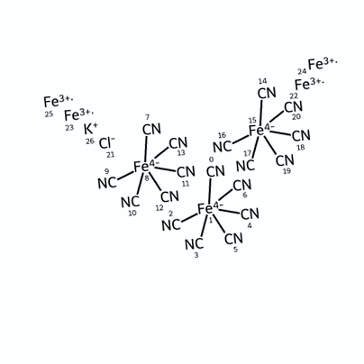 N#[C][Fe-4]([C]#N)([C]#N)([C]#N)([C]#N)[C]#N.N#[C][Fe-4]([C]#N)([C]#N)([C]#N)([C]#N)[C]#N.N#[C][Fe-4]([C]#N)([C]#N)([C]#N)([C]#N)[C]#N.[Cl-].[Fe+3].[Fe+3].[Fe+3].[Fe+3].[K+]